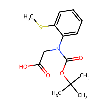 CSc1ccccc1N(CC(=O)O)C(=O)OC(C)(C)C